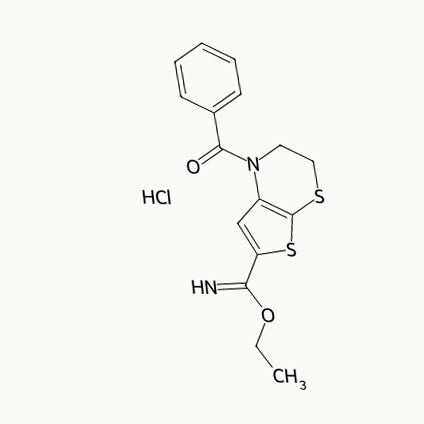 CCOC(=N)c1cc2c(s1)SCCN2C(=O)c1ccccc1.Cl